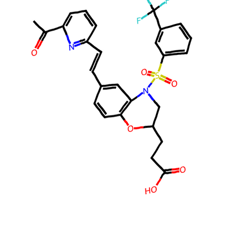 CC(=O)c1cccc(C=Cc2ccc3c(c2)N(S(=O)(=O)c2cccc(C(F)(F)F)c2)CC(CCC(=O)O)O3)n1